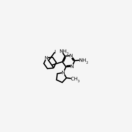 CC1CCCN1c1nc(N)nc(N)c1C1C2CCN(CC2)C1I